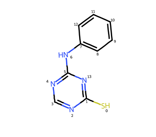 Sc1ncnc(Nc2ccccc2)n1